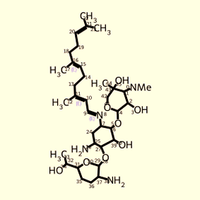 CNC1C(O)C(OC2C(/N=C/C=C(\C)CC/C=C(\C)CCC=C(C)C)CC(N)C(OC3OC(C(C)O)CCC3N)C2O)OCC1(C)O